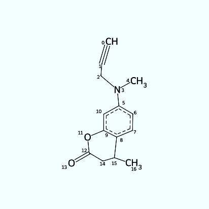 C#CCN(C)c1ccc2c(c1)OC(=O)CC2C